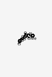 COC[C@H]1CN(S(=O)(=O)c2cc3ccc(Cl)cc3s2)CC(=O)N1Cc1nc2c(s1)CCCC2